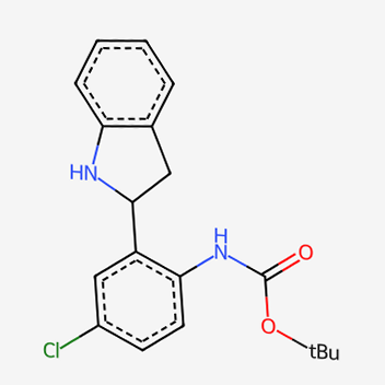 CC(C)(C)OC(=O)Nc1ccc(Cl)cc1C1Cc2ccccc2N1